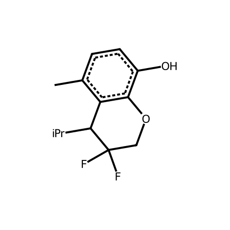 Cc1ccc(O)c2c1C(C(C)C)C(F)(F)CO2